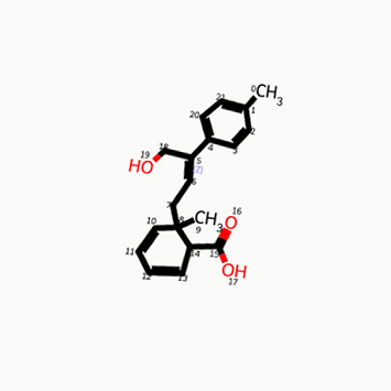 Cc1ccc(/C(=C/CC2(C)C=CC=CC2C(=O)O)CO)cc1